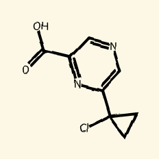 O=C(O)c1cncc(C2(Cl)CC2)n1